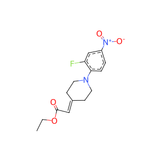 CCOC(=O)C=C1CCN(c2ccc([N+](=O)[O-])cc2F)CC1